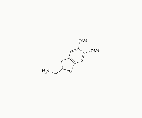 COc1cc2c(cc1OC)OC(CN)C2